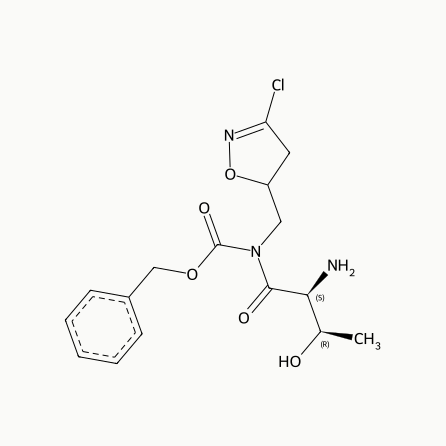 C[C@@H](O)[C@H](N)C(=O)N(CC1CC(Cl)=NO1)C(=O)OCc1ccccc1